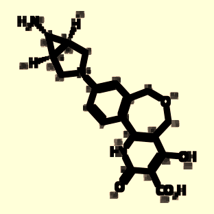 N[C@@H]1[C@H]2CN(c3ccc4c(c3)COCc3c-4[nH]c(=O)c(C(=O)O)c3O)C[C@@H]12